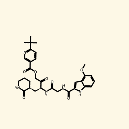 COc1cccc2[nH]c(C(=O)NCC(=O)N[C@@H](C[C@@H]3CCCNC3=O)C(=O)COC(=O)c3ccc(C(C)(C)C)nc3)cc12